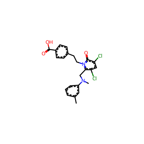 Cc1cccc(N(C)Cc2c(Cl)cc(Cl)c(=O)n2CCc2ccc(C(=O)O)cc2)c1